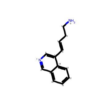 NCC/C=C/c1cncc2ccccc12